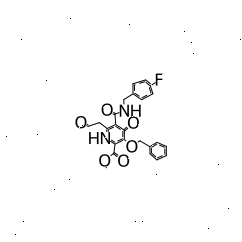 COC(=O)c1[nH]c(CC=O)c(C(=O)NCc2ccc(F)cc2)c(=O)c1OCc1ccccc1